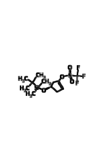 CC(C)(C)[Si](C)(C)O[C@@H]1CC=C(OS(=O)(=O)C(F)(F)F)C1